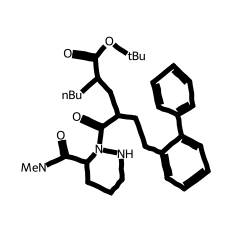 CCCCC(CC(CCc1ccccc1-c1ccccc1)C(=O)N1NCCCC1C(=O)NC)C(=O)OC(C)(C)C